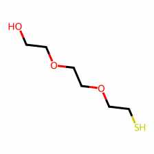 OCCOCCOCCS